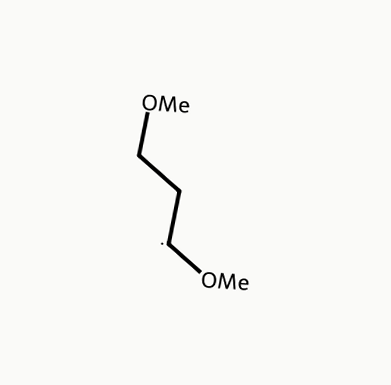 CO[CH]CCOC